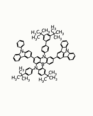 CC(C)(C)c1ccc(N2c3ccc(C(C)(C)C)cc3B3c4ccc(-c5cc6c7ccccc7n7c8ccccc8c(c5)c67)cc4N(c4ccc(-c5cc(C(C)(C)C)cc(C(C)(C)C)c5)cc4)c4cc(-c5ccc6c(c5)c5ccccc5n6-c5ccccc5)cc2c43)cc1